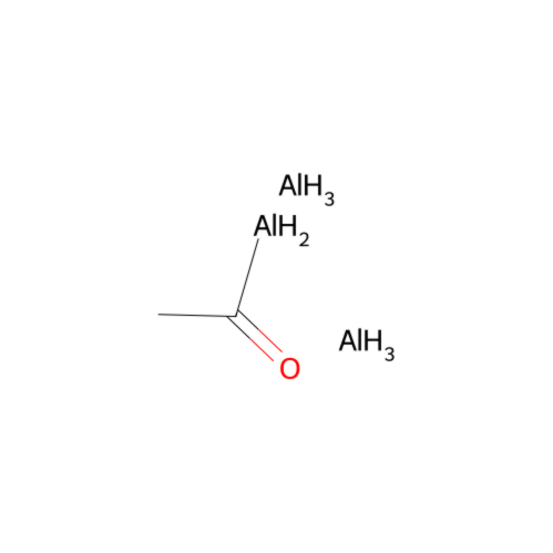 C[C](=O)[AlH2].[AlH3].[AlH3]